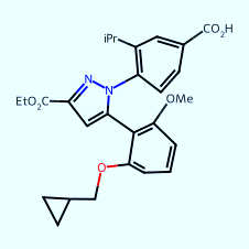 CCOC(=O)c1cc(-c2c(OC)cccc2OCC2CC2)n(-c2ccc(C(=O)O)cc2C(C)C)n1